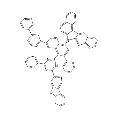 c1ccc(-c2cccc(-c3ccc4c(-n5c6cc7ccccc7cc6c6c7ccccc7ccc65)cc(-c5ccccc5)c(-c5nc(-c6ccccc6)nc(-c6ccc7c(c6)oc6ccccc67)n5)c4c3)c2)cc1